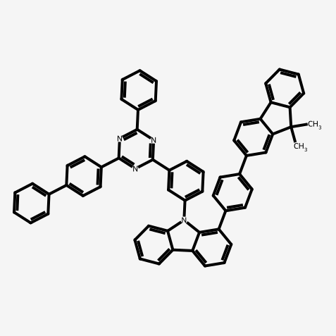 CC1(C)c2ccccc2-c2ccc(-c3ccc(-c4cccc5c6ccccc6n(-c6cccc(-c7nc(-c8ccccc8)nc(-c8ccc(-c9ccccc9)cc8)n7)c6)c45)cc3)cc21